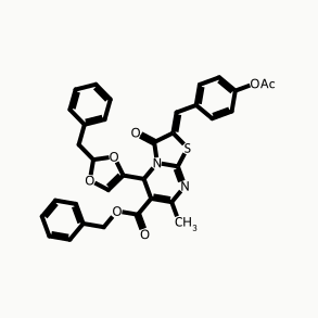 CC(=O)Oc1ccc(C=c2sc3n(c2=O)C(C2=COC(Cc4ccccc4)O2)C(C(=O)OCc2ccccc2)=C(C)N=3)cc1